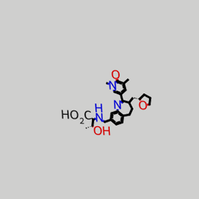 Cc1cc(C2=Nc3cc(CN[C@H](C(=O)O)[C@@H](C)O)ccc3CCC2C[C@@H]2CCCO2)cn(C)c1=O